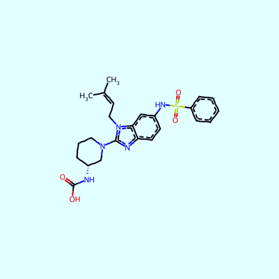 CC(C)=CCn1c(N2CCC[C@@H](NC(=O)O)C2)nc2ccc(NS(=O)(=O)c3ccccc3)cc21